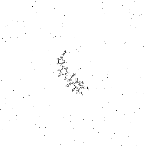 C[C@@H]1[C@H](C)[C@@H]2C[C@H]1[C@@H](C(=O)[C@H](C#N)Cc1ccc(-c3ccc(C#N)s3)cc1F)N2